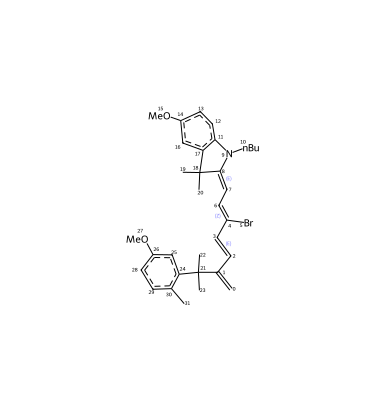 C=C(/C=C/C(Br)=C/C=C1/N(CCCC)c2ccc(OC)cc2C1(C)C)C(C)(C)c1cc(OC)ccc1C